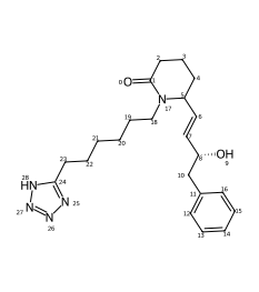 O=C1CCCC(C=C[C@H](O)Cc2ccccc2)N1CCCCCCc1nnn[nH]1